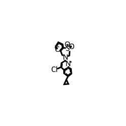 CN1c2ccc(C3CC3)cc2C(Cl)=CC1N1CCS(=O)(=O)c2ccccc2C1